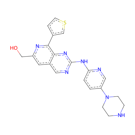 OCc1cc2cnc(Nc3ccc(N4CCNCC4)cn3)nc2c(-c2ccsc2)n1